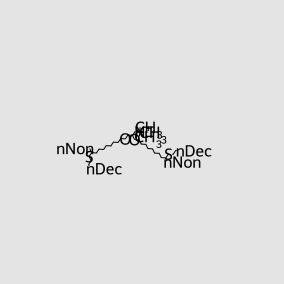 CCCCCCCCCCCCSC(CCCCCCCCC)CCCCCCCCOCC(C[N+](C)(C)C)OCCCCCCCCC(CCCCCCCCC)SCCCCCCCCCCCC